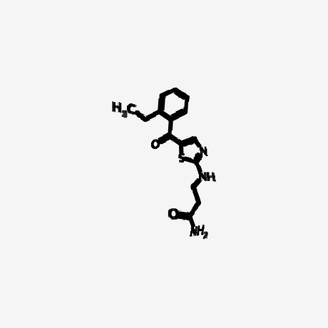 CCc1ccccc1C(=O)c1cnc(NCCC(N)=O)s1